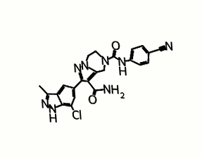 Cc1n[nH]c2c(Cl)cc(-c3nn4c(c3C(N)=O)CN(C(=O)Nc3ccc(C#N)cc3)CC4)cc12